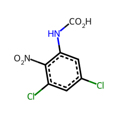 O=C(O)Nc1cc(Cl)cc(Cl)c1[N+](=O)[O-]